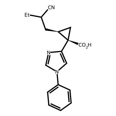 CCC(C#N)C[C@H]1C[C@]1(C(=O)O)c1cn(-c2ccccc2)cn1